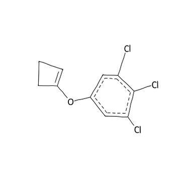 Clc1cc(OC2=CCC2)cc(Cl)c1Cl